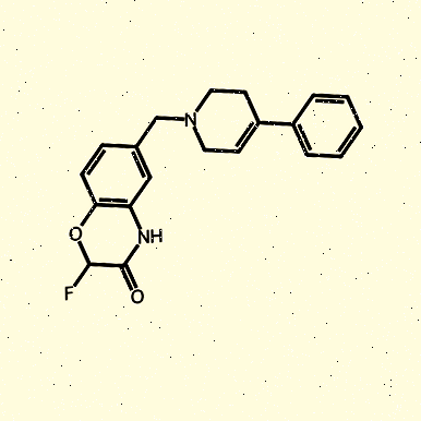 O=C1Nc2cc(CN3CC=C(c4ccccc4)CC3)ccc2OC1F